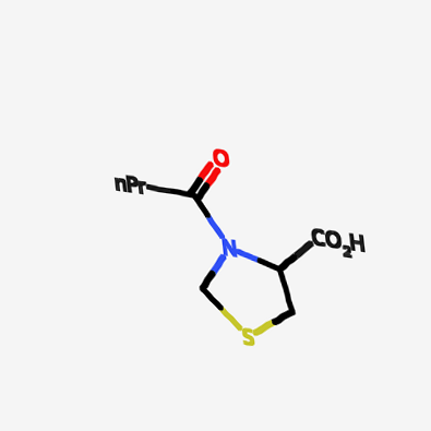 CCCC(=O)N1CSCC1C(=O)O